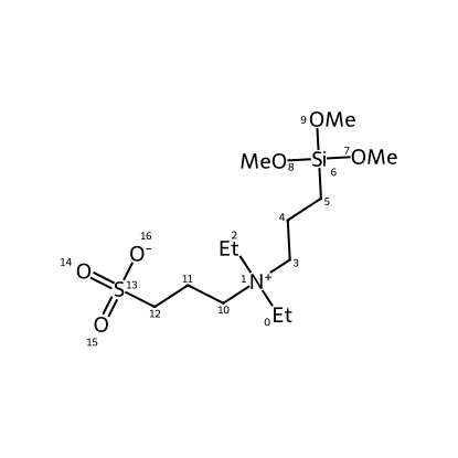 CC[N+](CC)(CCC[Si](OC)(OC)OC)CCCS(=O)(=O)[O-]